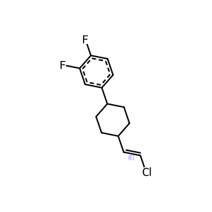 Fc1ccc(C2CCC(/C=C/Cl)CC2)cc1F